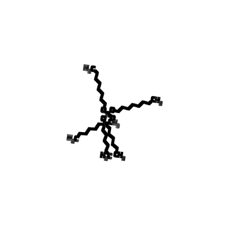 CCCCCCCCOP(=O)(OCCCCCCCC)OP(C)(CCCCCC)(CCCCCC)CCCCCC